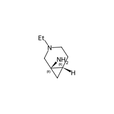 CCN1CC[C@@H]2C[C@]2(N)C1